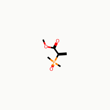 C=C(C(=O)OC)P(C)(C)=O